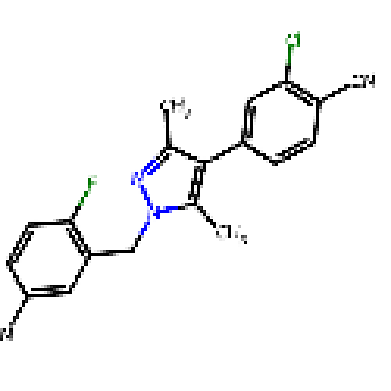 Cc1nn(Cc2cc([N+](=O)[O-])ccc2F)c(C)c1-c1ccc(C#N)c(Cl)c1